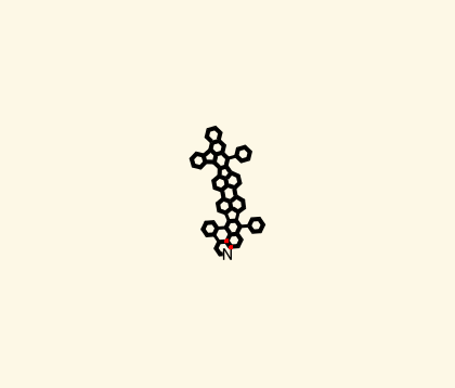 c1ccc(-c2c3c(c(-c4ccccc4-c4ccncc4)c4ccccc24)-c2ccc4c5ccc6c7c(ccc(c8ccc-3c2c84)c57)c2c(-c3ccccc3)c3cc4ccccc4c4c5ccccc5c(c62)c34)cc1